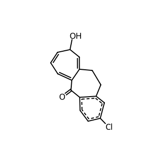 O=C1C2=CC=CC(O)C=C2CCc2cc(Cl)ccc21